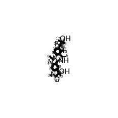 Cc1nc(N[C@H](C)c2cccc(C(F)(F)C(C)(C)O)c2F)c2cc3c(cc2n1)N(C)C(=O)C3(C)O